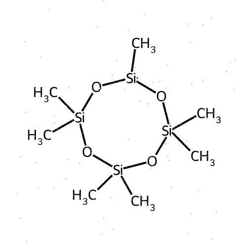 C[Si]1O[Si](C)(C)O[Si](C)(C)O[Si](C)(C)O1